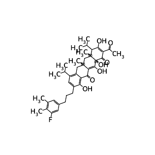 CC(=O)C1=C(O)C(C(C)C)[C@@]2(C)C[C@@]3(C)Cc4c(C(C)C)cc(CCCc5cc(C)c(C)c(F)c5)c(O)c4C(=O)C3=C(O)[C@@]2(O)C1=O